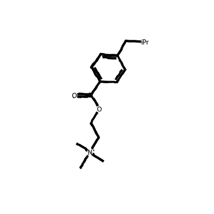 CC(C)Cc1ccc(C(=O)OCC[N+](C)(C)C)cc1